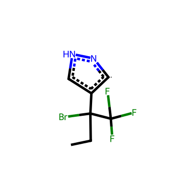 CCC(Br)(c1[c]n[nH]c1)C(F)(F)F